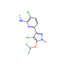 Cn1nc(-c2ccc(Cl)c(NF)n2)c(Cl)c1OC(F)F